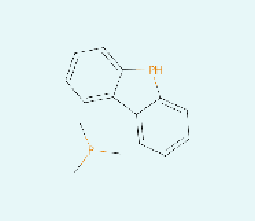 CP(C)C.c1ccc2c(c1)[pH]c1ccccc12